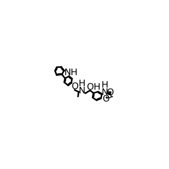 CC(COc1ccc2c(c1)[nH]c1ccccc12)NCC(O)c1cccc(NS(C)(=O)=O)c1